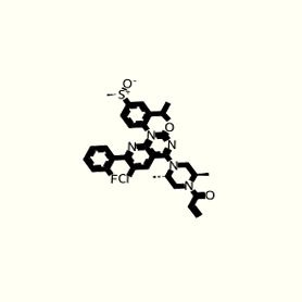 C=CC(=O)N1C[C@H](C)N(c2nc(=O)n(-c3ccc([S@+](C)[O-])cc3C(C)C)c3nc(-c4ccccc4F)c(Cl)cc23)C[C@H]1C